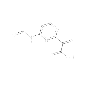 O=CNc1ccnc(C(=S)C(=O)O)n1